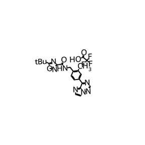 Cc1cc(-c2ncnn3ccnc23)ccc1CNC(=O)c1noc(C(C)(C)C)n1.O=C(O)C(F)(F)F